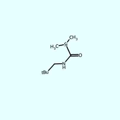 C[Si](C)C(=O)NCC(C)(C)C